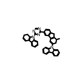 CC1CC(n2c3ccccc3c3ccccc32)=CC2=C1Cc1ccc(-c3ncnc(-n4c5c(c6ccccc64)C=CCC5)n3)cc12